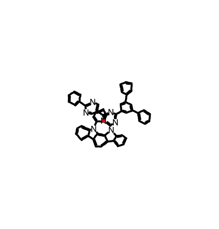 c1ccc(-c2cc(-c3ccccc3)cc(-c3nc(-c4cnc(-c5ccccc5)nc4)nc(-n4c5ccccc5c5ccc6c7ccccc7n(-c7ccccc7)c6c54)n3)c2)cc1